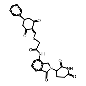 O=C1CCC(N2Cc3c(NC(=O)CSC=C4C(=O)CC(c5ccccc5)CC4=O)cccc3C2=O)C(=O)N1